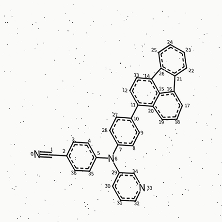 N#Cc1ccc(N(c2ccc(-c3ccc4c5c(cccc35)-c3ccccc3-4)cc2)c2cccnc2)cc1